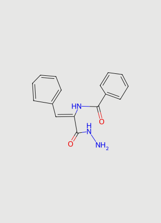 NNC(=O)/C(=C/c1ccccc1)NC(=O)c1ccccc1